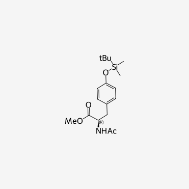 COC(=O)[C@@H](Cc1ccc(O[Si](C)(C)C(C)(C)C)cc1)NC(C)=O